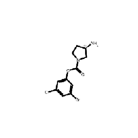 N[C@@H]1CCN(C(=O)Oc2cc(Cl)cc(Br)c2)C1